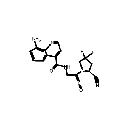 N#C[C@@H]1CC(F)(F)CN1C(=C=O)CNC(=O)c1ccnc2c(N)cccc12